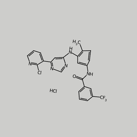 Cc1ccc(NC(=O)c2cccc(C(F)(F)F)c2)cc1Nc1cc(-c2cccnc2Cl)ncn1.Cl